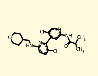 CC(C)C(=O)Nc1cc(-c2nc(NCC3CCOCC3)ccc2Cl)c(Cl)cn1